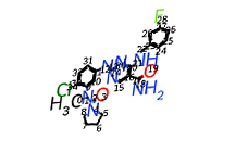 CN(C(=O)N1CCCC1)c1cc(Nc2ncc(C(N)=O)c(NCc3cccc(F)c3)n2)ccc1Cl